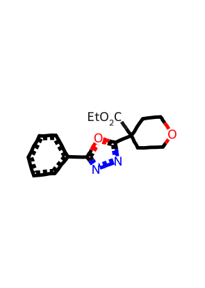 CCOC(=O)C1(c2nnc(-c3ccccc3)o2)CCOCC1